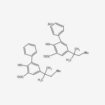 CC(C)(C)CC(C)(C)c1cc(C(=O)[O-])c(O)c(-c2ccccc2)c1.CC(C)(C)CC(C)(C)c1cc(C(=O)[O-])c(O)c(-c2ccccc2)c1.[Zn+2]